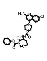 Nc1cc(N2CCN(C(=O)N[C@H]3CCCCN(C(=O)Oc4ccccc4)C3=O)CC2)c2ccc(Cl)cc2n1